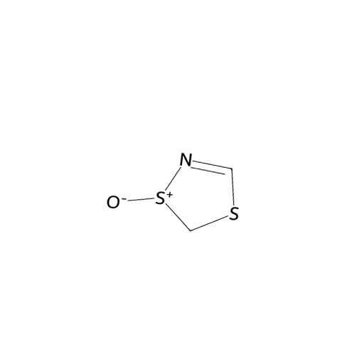 [O-][S+]1CSC=N1